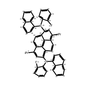 CC(C)c1cc(N(c2ccccc2F)c2cccc3ccccc23)c2ccc3c(C(C)C)cc(N(c4ccccc4F)c4cccc5ccccc45)c4ccc1c2c34